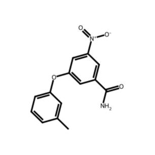 Cc1cccc(Oc2cc(C(N)=O)cc([N+](=O)[O-])c2)c1